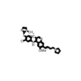 COc1cc2c(Nc3ccc(Sc4nccn4C)c(Cl)c3)c(C#N)cnc2cc1/C=C/CCN1CCCC1